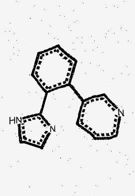 [c]1cccc(-c2cccnc2)c1-c1ncc[nH]1